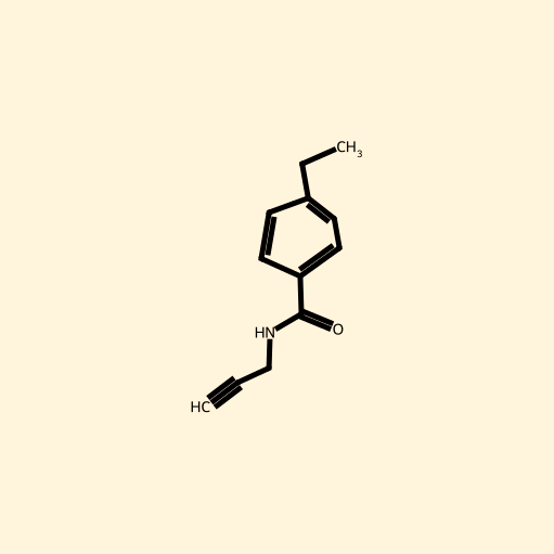 C#CCNC(=O)c1ccc(CC)cc1